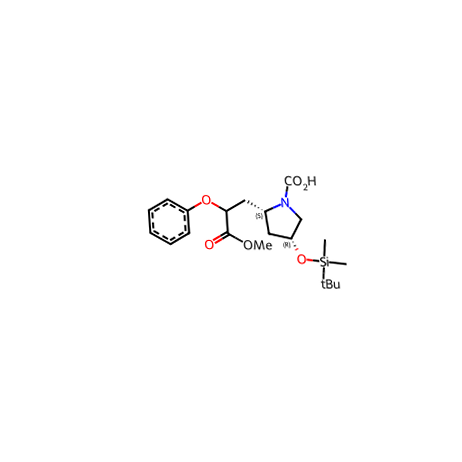 COC(=O)C(C[C@H]1C[C@@H](O[Si](C)(C)C(C)(C)C)CN1C(=O)O)Oc1ccccc1